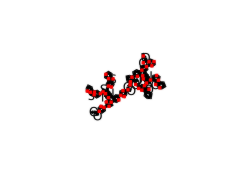 CCOC(=O)c1ccccc1-c1ccc2c3ccc(-c4cccc(COC(=O)c5ccc(-c6ccc7c8ccc(-c9ccc(C(=O)OC)cc9)cc8c8nc9c(-c%10ccc%11sc%12ccccc%12c%11c%10)sc(-c%10ccc%11sc%12ccccc%12c%11c%10)c9nc8c7c6)cc5)c4C(=O)OCC)cc3c3nc4c(-c5cccc6c5oc5ccccc56)sc(-c5cccc6c5oc5ccccc56)c4nc3c2c1